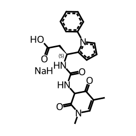 CC1=CN(C)C(=O)C(NC(=O)N[C@@H](CC(=O)O)c2cccn2-c2ccccc2)C1=O.[NaH]